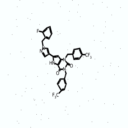 O=c1c2[nH]c(-c3cnn(Cc4ccccc4F)c3)cc2n(Cc2ccc(C(F)(F)F)cc2)c(=O)n1Cc1ccc(C(F)(F)F)cc1